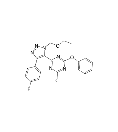 CCOCn1nnc(-c2ccc(F)cc2)c1-c1nc(Cl)nc(Oc2ccccc2)n1